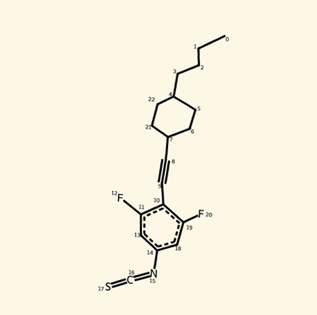 CCCCC1CCC(C#Cc2c(F)cc(N=C=S)cc2F)CC1